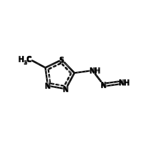 Cc1nnc(NN=N)s1